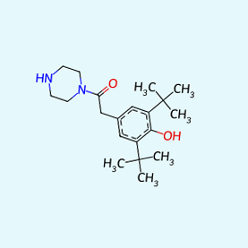 CC(C)(C)c1cc(CC(=O)N2CCNCC2)cc(C(C)(C)C)c1O